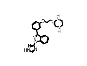 c1cc(OCC[C@H]2CNCCN2)cc(-c2nn(-c3nc[nH]n3)c3ccccc23)c1